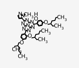 CCCCC(CC)COc1ccc(C2=NC3=NC(c4ccnn4C)=NC4=NC(c5ccc(OCC(CC)CCCC)cc5OCC(CC)CCCC)=NC(=N2)N43)c(O)c1